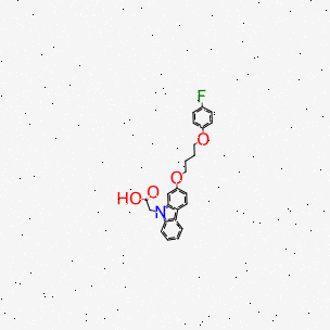 O=C(O)Cn1c2ccccc2c2ccc(OCCCCOc3ccc(F)cc3)cc21